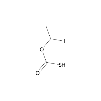 CC(I)OC(=O)S